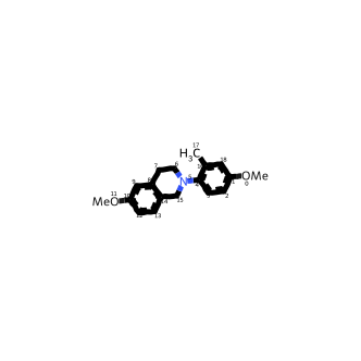 COc1ccc(N2CCc3cc(OC)ccc3C2)c(C)c1